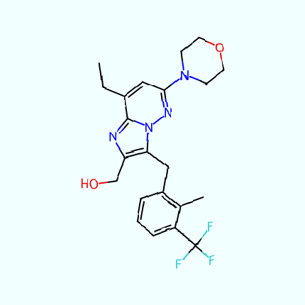 CCc1cc(N2CCOCC2)nn2c(Cc3cccc(C(F)(F)F)c3C)c(CO)nc12